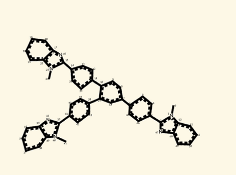 Cn1c(-c2ccc(-c3ccc(-c4ccc(-c5nc6ccccc6n5C)cc4)c(-c4ccc(-c5nc6ccccc6n5C)cc4)c3)cc2)nc2ccccc21